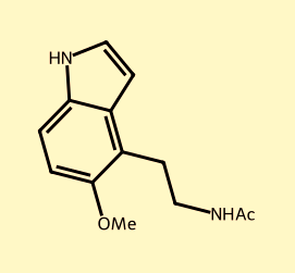 COc1ccc2[nH]ccc2c1CCNC(C)=O